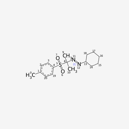 Cc1ccc(S(=O)(=O)C(C)(C)/N=N/C2CCCCC2)cc1